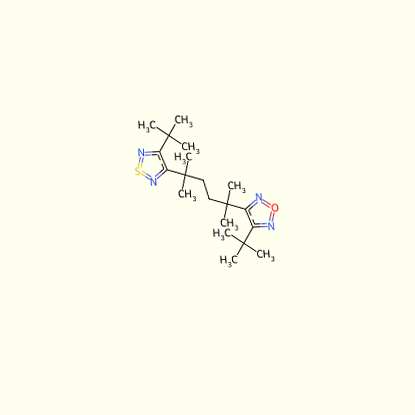 CC(C)(C)c1nonc1C(C)(C)CCC(C)(C)c1nsnc1C(C)(C)C